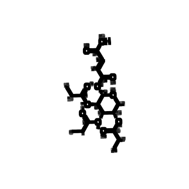 CCC(=O)O[C@@H]1[C@@H](OC(=O)CC)[C@H](OC(=O)/C=C/C(=O)O)OC[C@@H]1OC(=O)CC